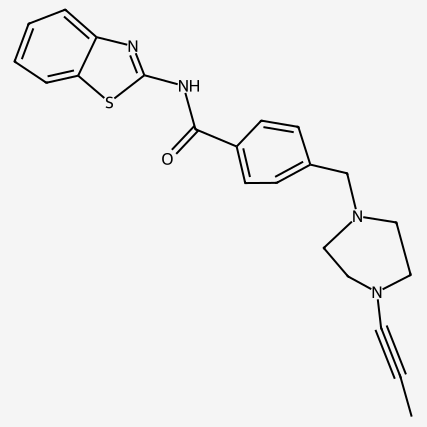 CC#CN1CCN(Cc2ccc(C(=O)Nc3nc4ccccc4s3)cc2)CC1